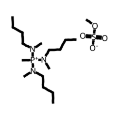 CCCCN(C)[P+](C)(N(C)CCCC)N(C)CCCC.COS(=O)(=O)[O-]